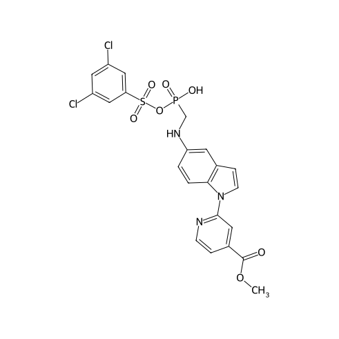 COC(=O)c1ccnc(-n2ccc3cc(NCP(=O)(O)OS(=O)(=O)c4cc(Cl)cc(Cl)c4)ccc32)c1